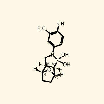 N#Cc1ccc(N2C[C@H]3[C@H]([C@@H]4CC[C@H]3O4)S2(O)O)cc1C(F)(F)F